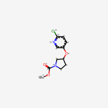 CC(C)(C)OC(=O)N1CCC(Oc2ccc(Cl)nc2)C1